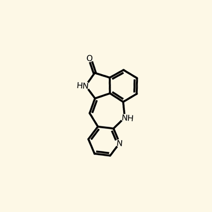 O=C1NC2=Cc3cccnc3Nc3cccc1c32